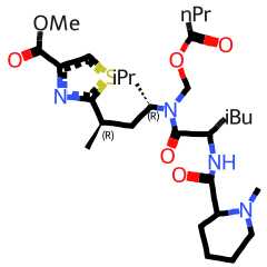 CCCC(=O)OCN(C(=O)C(NC(=O)C1CCCCN1C)C(C)CC)[C@H](C[C@@H](C)c1nc(C(=O)OC)cs1)C(C)C